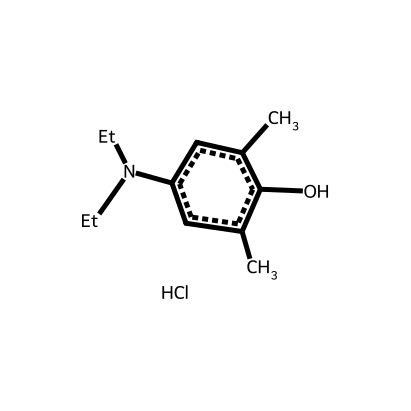 CCN(CC)c1cc(C)c(O)c(C)c1.Cl